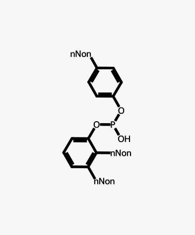 CCCCCCCCCc1ccc(OP(O)Oc2cccc(CCCCCCCCC)c2CCCCCCCCC)cc1